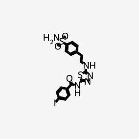 NS(=O)(=O)c1ccc(CCNc2nnc(NC(=O)c3ccc(I)cc3)s2)cc1